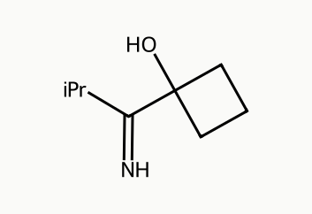 CC(C)C(=N)C1(O)CCC1